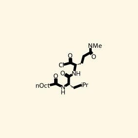 CCCCCCCCC(=O)N[C@@H](CC(C)C)C(=O)N[C@@H](CCC(=O)NC)C(=O)Cl